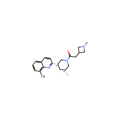 C[C@@H]1C[C@H](c2ccc3cccc(C#N)c3n2)CN(C(=O)CC2CN(C)C2)C1